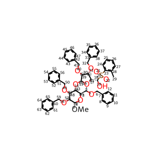 CO[C@H]1O[C@H](COCc2ccccc2)[C@@H](O[C@@H]2O[C@@H](C(O)S(=O)(=O)c3ccccc3C)[C@@H](OCc3ccccc3)[C@@H]2OCc2ccccc2)[C@H](OCc2ccccc2)[C@@H]1OCc1ccccc1